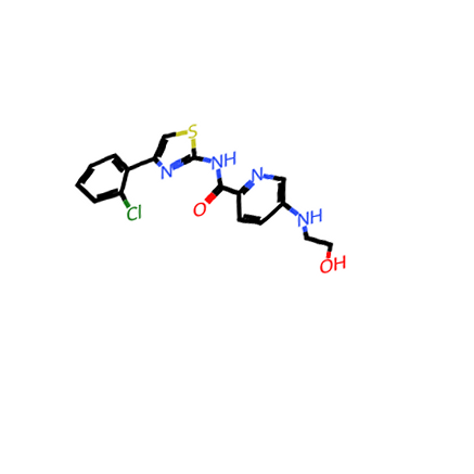 O=C(Nc1nc(-c2ccccc2Cl)cs1)c1ccc(NCCO)cn1